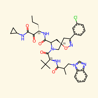 CCC[C@H](NC(=O)C1C[C@]2(CC(c3cccc(Cl)c3)=NO2)CN1C(=O)[C@@H](NC(=O)C(C)Cn1cnc2ccccc21)C(C)(C)C)C(=O)C(=O)NC1CC1